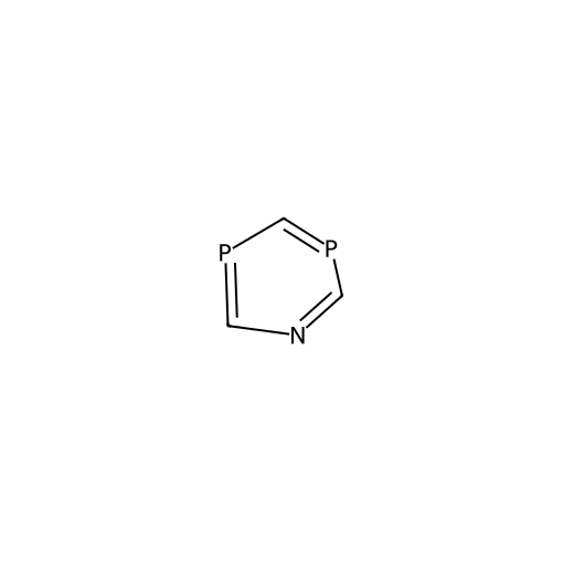 c1ncpcp1